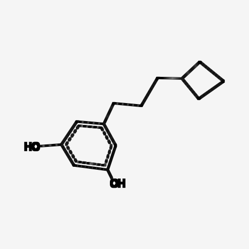 Oc1cc(O)cc(CCCC2CCC2)c1